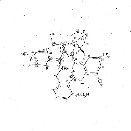 O=C(O)c1cccc(CNC(C(=O)O[C@H]2CN3CCC2CC3)c2ccc(F)cc2)c1[C@@H](Cc1c(Cl)c[n+]([O-])cc1Cl)c1ccc(OC(F)F)c(OCC2CC2)c1